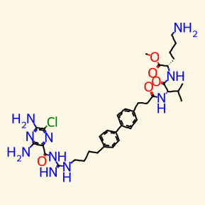 COC(=O)[C@H](CCCCN)NC(=O)[C@@H](NC(=O)CCc1ccc(-c2ccc(CCCCNC(=N)NC(=O)c3nc(Cl)c(N)nc3N)cc2)cc1)C(C)C